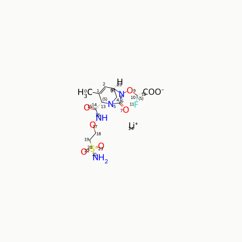 CC1=C[C@@H]2CN(C(=O)N2O[C@@H](F)C(=O)[O-])[C@@H]1C(=O)NOCCS(N)(=O)=O.[Li+]